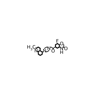 Cc1ccc2c(N3CCN(CC(=O)c4cc(F)c5c(c4)NC(=O)CO5)CC3)cccc2n1